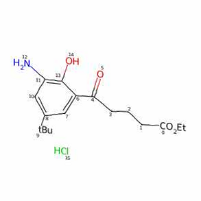 CCOC(=O)CCCC(=O)c1cc(C(C)(C)C)cc(N)c1O.Cl